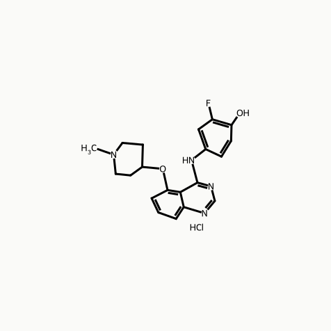 CN1CCC(Oc2cccc3ncnc(Nc4ccc(O)c(F)c4)c23)CC1.Cl